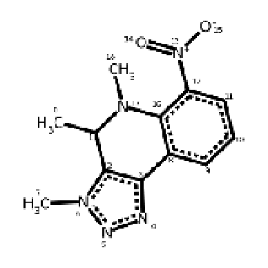 CC1c2c(nnn2C)-c2cccc([N+](=O)[O-])c2N1C